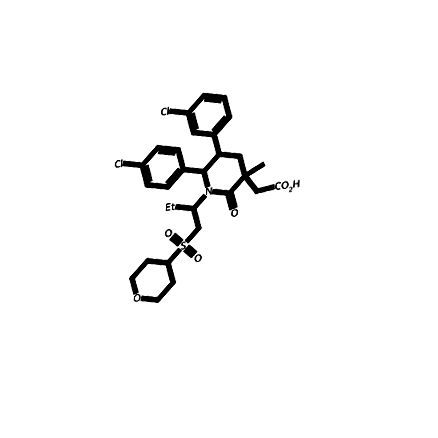 CCC(CS(=O)(=O)C1CCOCC1)N1C(=O)C(C)(CC(=O)O)CC(c2cccc(Cl)c2)C1c1ccc(Cl)cc1